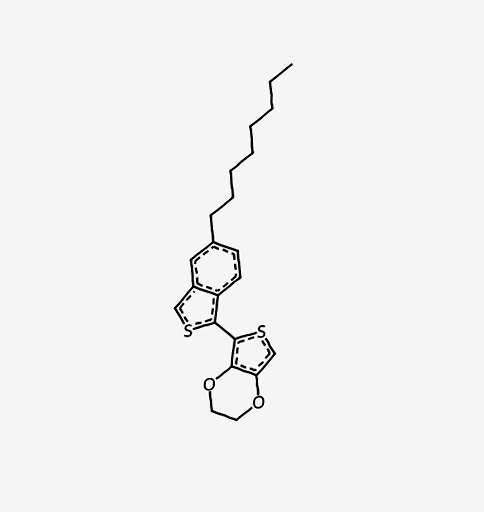 CCCCCCCCc1ccc2c(-c3scc4c3OCCO4)scc2c1